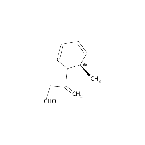 C=C(CC=O)C1C=CC=C[C@H]1C